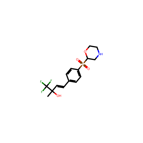 CC(O)(C=Cc1ccc(S(=O)(=O)C2CNCCO2)cc1)C(F)(F)F